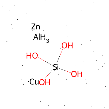 O[Si](O)(O)O.[AlH3].[Cu].[Zn]